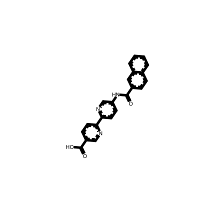 O=C(O)c1ccc(-c2ccc(NC(=O)c3ccc4ccccc4c3)cn2)nc1